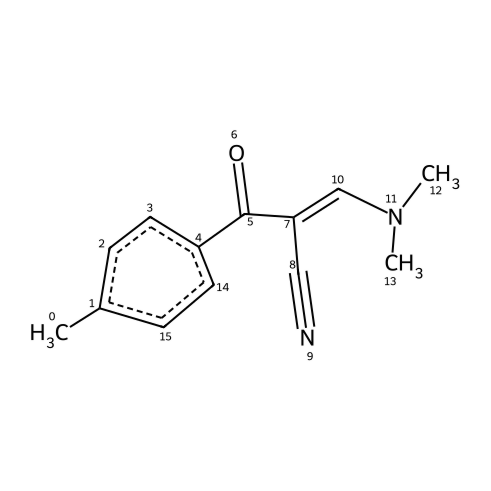 Cc1ccc(C(=O)C(C#N)=CN(C)C)cc1